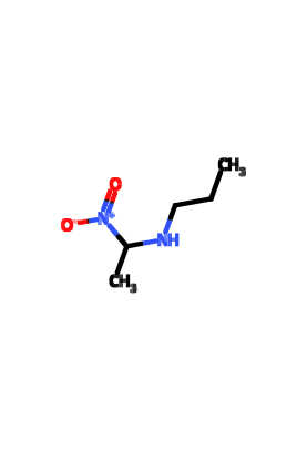 CCCNC(C)[N+](=O)[O-]